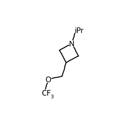 CC(C)N1CC(COC(F)(F)F)C1